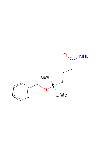 CO[Si](CCCC(N)=O)(OC)OCc1ccccc1